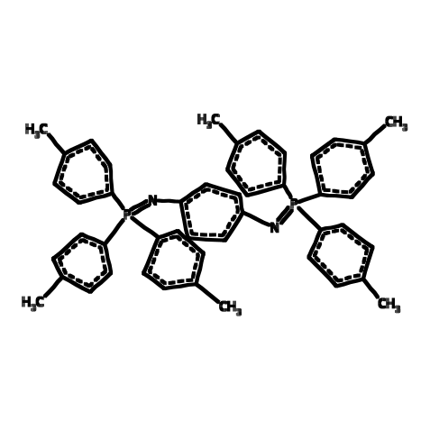 Cc1ccc(P(=Nc2ccc(N=P(c3ccc(C)cc3)(c3ccc(C)cc3)c3ccc(C)cc3)cc2)(c2ccc(C)cc2)c2ccc(C)cc2)cc1